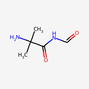 CC(C)(N)C(=O)NC=O